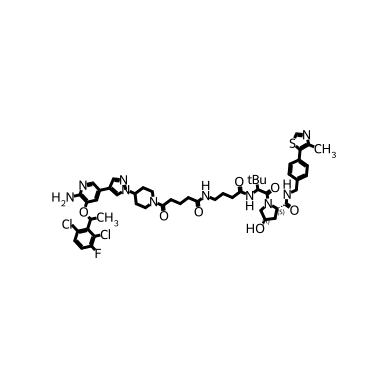 Cc1ncsc1-c1ccc(CNC(=O)[C@@H]2C[C@@H](O)CN2C(=O)C(NC(=O)CCCNC(=O)CCCC(=O)N2CCC(n3cc(-c4cnc(N)c(OC(C)c5c(Cl)ccc(F)c5Cl)c4)cn3)CC2)C(C)(C)C)cc1